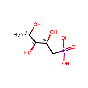 [CH2][C@H](O)[C@H](O)[C@@H](O)CP(=O)(O)O